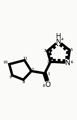 O=C(c1c[nH][c]n1)C1CCCC1